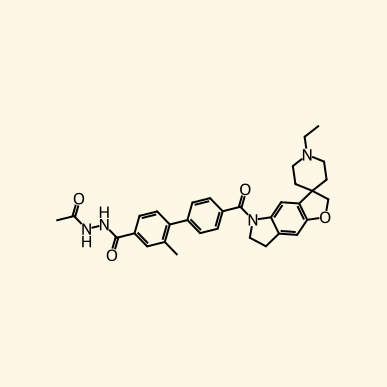 CCN1CCC2(CC1)COc1cc3c(cc12)N(C(=O)c1ccc(-c2ccc(C(=O)NNC(C)=O)cc2C)cc1)CC3